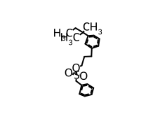 CCC(C)(C)c1cccc(CCCOS(=O)(=O)Cc2ccccc2)c1